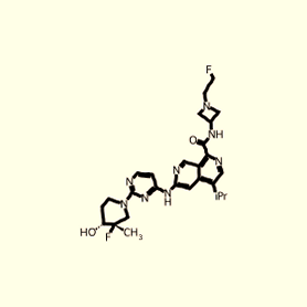 CC(C)c1cnc(C(=O)NC2CN(CCF)C2)c2cnc(Nc3ccnc(N4CC[C@@H](O)[C@@](C)(F)C4)n3)cc12